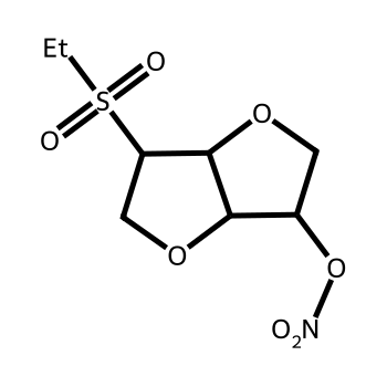 CCS(=O)(=O)C1COC2C(O[N+](=O)[O-])COC21